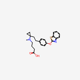 CN(CCCC(=O)O)C1(CCc2ccc(Oc3nc4ccccc4s3)cc2)CC1